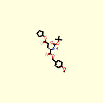 COc1ccc(COC(=O)[C@@H](CCC(=O)OC2CCCC2)NC(=O)OC(C)(C)C)cc1